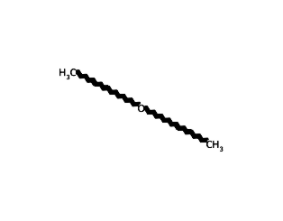 CCCCCC=CCC=CCCCCCCCCOCCCCCCCCC=CCC=CCCCCC